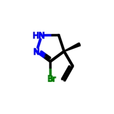 C=C[C@@]1(C)CNN=C1Br